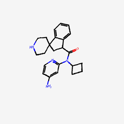 Nc1ccnc(N(C(=O)C2CC3(CCNCC3)c3ccccc32)C2CCC2)c1